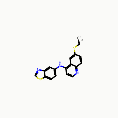 FC(F)(F)CSc1ccc2nccc(Nc3ccc4scnc4c3)c2c1